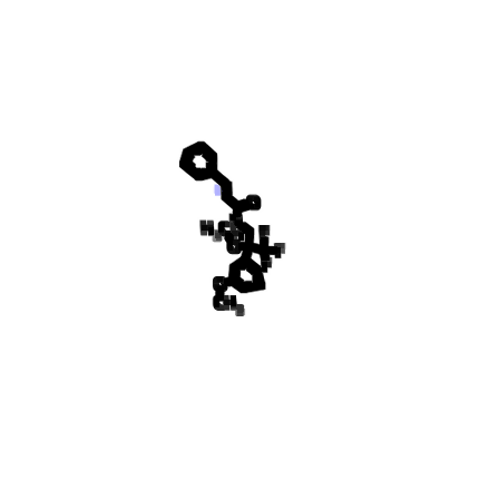 COc1cccc(C(CNC(=O)/C=C/c2ccccc2)(OC)C(F)(F)F)c1